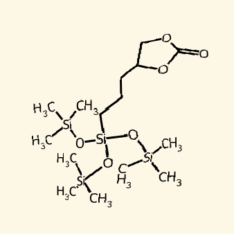 C[Si](C)(C)O[Si](CCCC1COC(=O)O1)(O[Si](C)(C)C)O[Si](C)(C)C